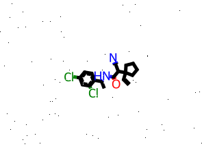 C=CC1(C(C#N)C(=O)NC(C)c2ccc(Cl)cc2Cl)CCCC1